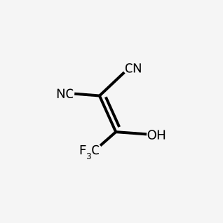 N#CC(C#N)=C(O)C(F)(F)F